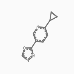 c1nnc(-c2ccc(C3CC3)nc2)o1